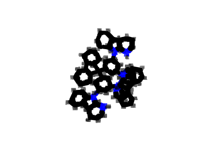 C1=Cc2c(c3cccnc3n2-c2cc(-n3c4ccccc4c4cccnc43)cc(C3(c4cc(-n5c6ccccc6c6cccnc65)cc(-n5c6ccccc6c6cccnc65)c4)c4ccccc4-c4ccccc43)c2)CC1